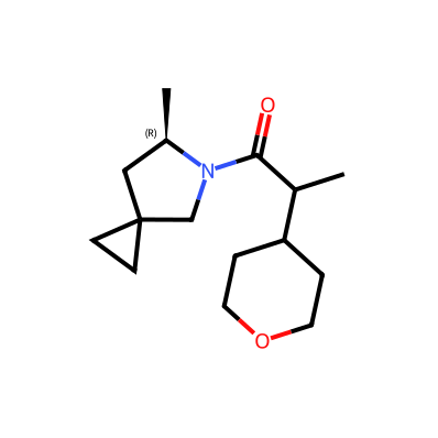 CC(C(=O)N1CC2(CC2)C[C@H]1C)C1CCOCC1